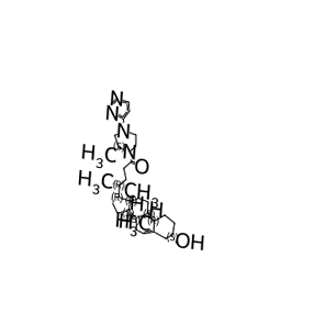 C[C@H](CCC(=O)N1CCN(c2ccncn2)C[C@@H]1C)[C@H]1CC[C@H]2[C@@H]3CC=C4C[C@@H](O)CC[C@]4(C)[C@H]3CC[C@]12C